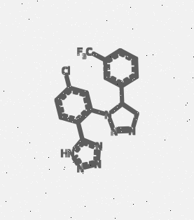 FC(F)(F)c1cccc(C2CN=NN2c2cc(Cl)ccc2-c2nnn[nH]2)c1